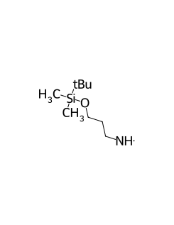 CC(C)(C)[Si](C)(C)OCCC[NH]